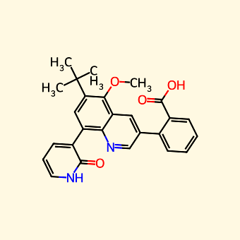 COc1c(C(C)(C)C)cc(-c2ccc[nH]c2=O)c2ncc(-c3ccccc3C(=O)O)cc12